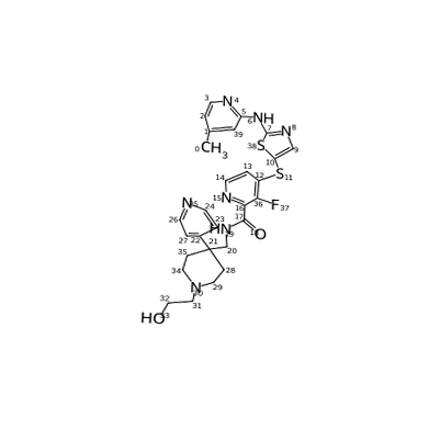 Cc1ccnc(Nc2ncc(Sc3ccnc(C(=O)NCC4(c5ccncc5)CCN(CCO)CC4)c3F)s2)c1